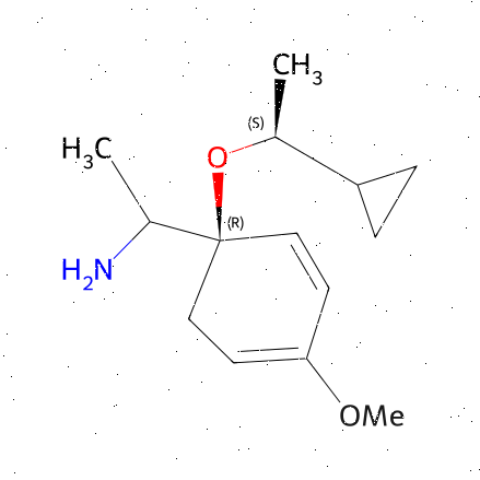 COC1=CC[C@](O[C@@H](C)C2CC2)(C(C)N)C=C1